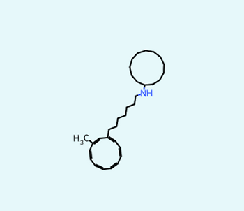 CC1=C/C(CCCCCCCNC2CCCCCCCCCCCC2)=C\C=C/C=C\C=C/C=C\1